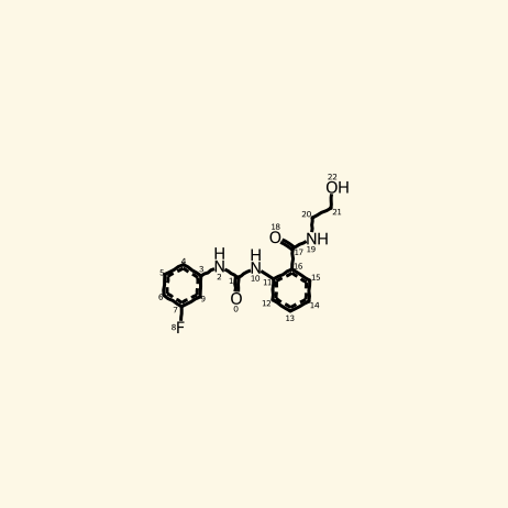 O=C(Nc1cccc(F)c1)Nc1ccccc1C(=O)NCCO